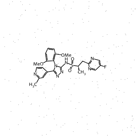 COc1cccc(OC)c1-n1c(NS(=O)(=O)[C@H](C)Cc2ncc(F)cn2)nnc1-c1ccnc(C)c1